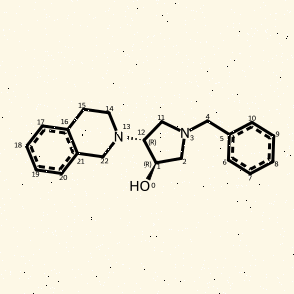 O[C@@H]1CN(Cc2ccccc2)C[C@H]1N1CCc2ccccc2C1